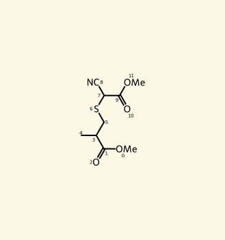 COC(=O)C(C)CSC(C#N)C(=O)OC